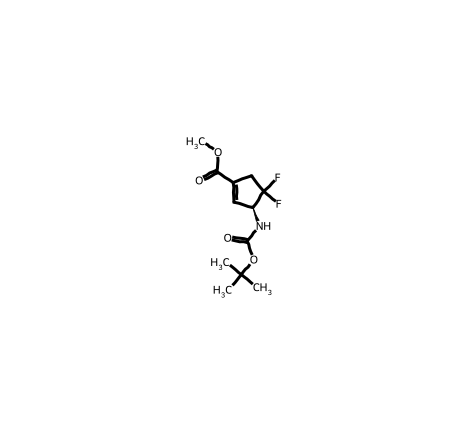 COC(=O)C1=C[C@H](NC(=O)OC(C)(C)C)C(F)(F)C1